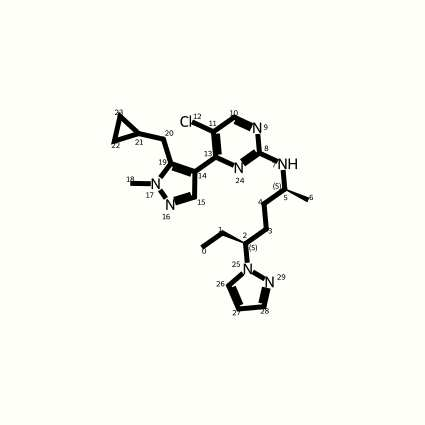 CC[C@@H](CC[C@H](C)Nc1ncc(Cl)c(-c2cnn(C)c2CC2CC2)n1)n1cccn1